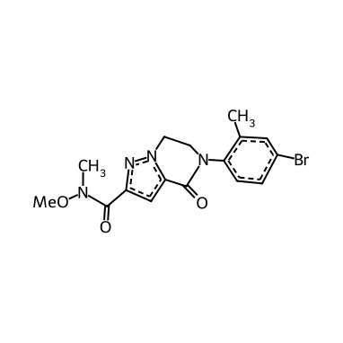 CON(C)C(=O)c1cc2n(n1)CCN(c1ccc(Br)cc1C)C2=O